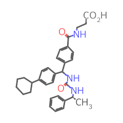 C[C@H](NC(=O)NC(c1ccc(C(=O)NCCC(=O)O)cc1)c1ccc(C2CCCCC2)cc1)c1ccccc1